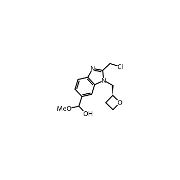 COC(O)c1ccc2nc(CCl)n(C[C@@H]3CCO3)c2c1